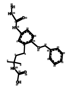 CC(C)(CCc1cc(NC(=O)NS)ccc1OCc1ccccc1)NC(=O)O